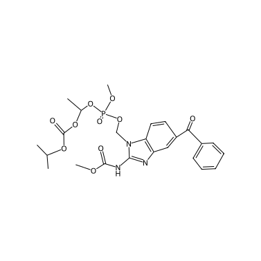 COC(=O)Nc1nc2cc(C(=O)c3ccccc3)ccc2n1COP(=O)(OC)OC(C)OC(=O)OC(C)C